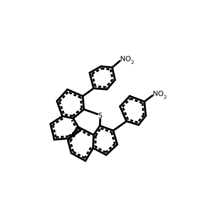 O=[N+]([O-])c1ccc(-c2ccc3ccccc3c2Sc2c(-c3ccc([N+](=O)[O-])cc3)ccc3ccccc23)cc1